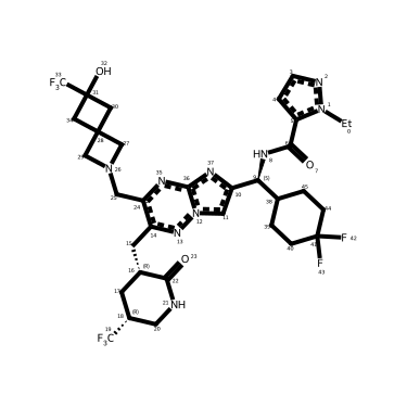 CCn1nccc1C(=O)N[C@H](c1cn2nc(C[C@H]3C[C@@H](C(F)(F)F)CNC3=O)c(CN3CC4(C3)CC(O)(C(F)(F)F)C4)nc2n1)C1CCC(F)(F)CC1